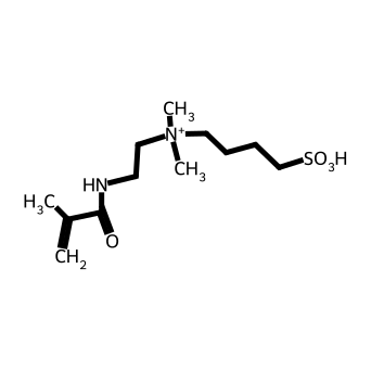 C=C(C)C(=O)NCC[N+](C)(C)CCCCS(=O)(=O)O